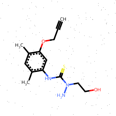 C#CCOc1cc(NC(=S)N(N)CCO)c(C)cc1C